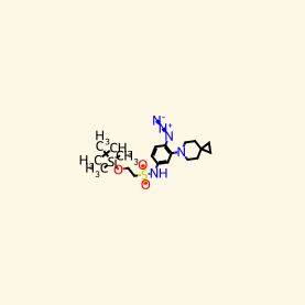 CC(C)(C)[Si](C)(C)OCCS(=O)(=O)Nc1ccc(N=[N+]=[N-])c(N2CCC3(CC2)CC3)c1